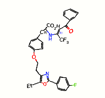 CCc1oc(-c2ccc(F)cc2)nc1CCOc1ccc(C[C@H](N/C(=C/C(=O)c2ccccc2)C(F)(F)F)C(=O)O)cc1